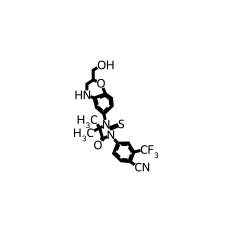 CC1(C)C(=O)N(c2ccc(C#N)c(C(F)(F)F)c2)C(=S)N1c1ccc2c(c1)NCC(CO)O2